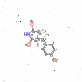 C[C@H](c1ccc(Br)cc1)[C@@]1(C)C(=O)NC(=O)[C@@H]1C